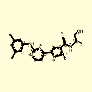 Cc1cc(C)cc(Nc2nccc(-c3cc(C(=O)N[C@H](C)CO)n(C)n3)n2)c1